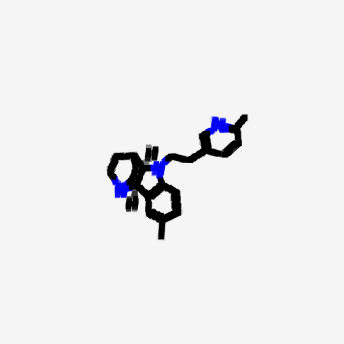 Cc1ccc2c(c1)[C@@H]1[C@@H](C3CCN1CC3)N2CCc1ccc(C)nc1